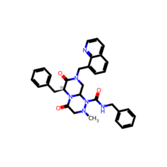 CN1CC(=O)N2C(CN(Cc3cccc4cccnc34)C(=O)[C@@H]2Cc2cc[c]cc2)N1C(=O)NCc1ccccc1